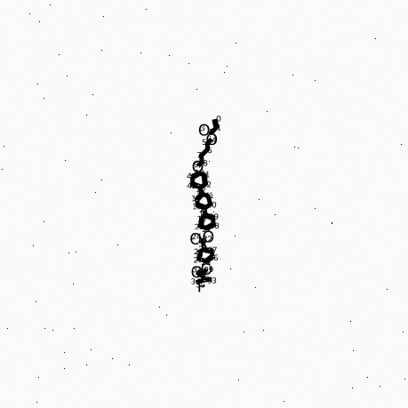 C=CC(=O)OCCCCOc1ccc(C2=CC=C(c3ccc(OC(=O)c4ccc(OC(=O)C(C)(C)F)cc4)cc3)CC2)cc1